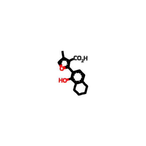 Cc1coc(-c2ccc3c(c2O)CCCC3)c1C(=O)O